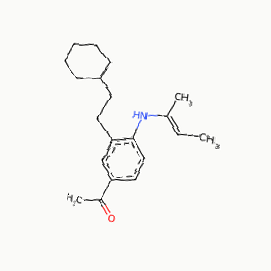 CC=C(C)Nc1ccc(C(C)=O)cc1CCC1CCCCC1